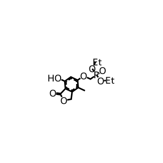 CCOP(=O)(COc1cc(O)c2c(c1C)COC2=O)OCC